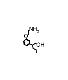 CCCC(CO)c1cccc(OCCN)c1